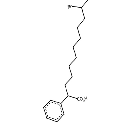 CC(Br)CCCCCCCCC(C(=O)O)c1ccccc1